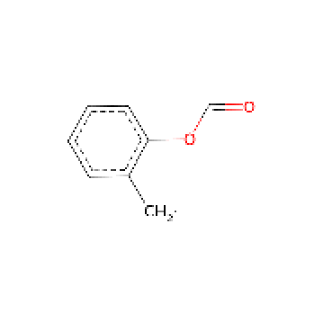 [CH2]c1ccccc1OC=O